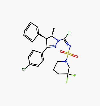 C[C@@H]1[C@H](c2ccccc2)C(c2ccc(Cl)cc2)=NN1/C(Cl)=N\S(=O)(=O)N1CCCC(F)(F)C1